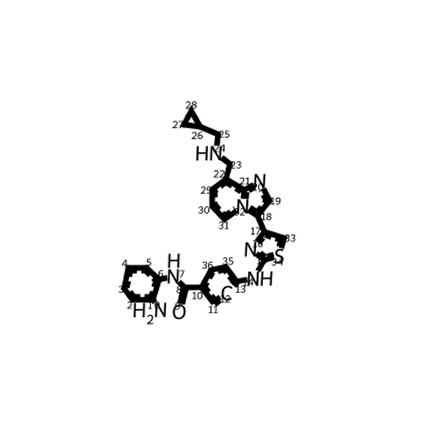 Nc1ccccc1NC(=O)c1ccc(Nc2nc(-c3cnc4c(CNCC5CC5)cccn34)cs2)cc1